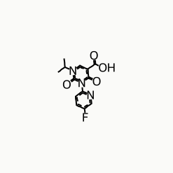 CC(C)n1cc(C(=O)O)c(=O)n(-c2ccc(F)cn2)c1=O